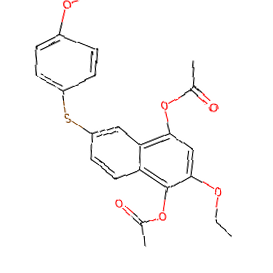 CCOc1cc(OC(C)=O)c2cc(Sc3ccc(OC)cc3)ccc2c1OC(C)=O